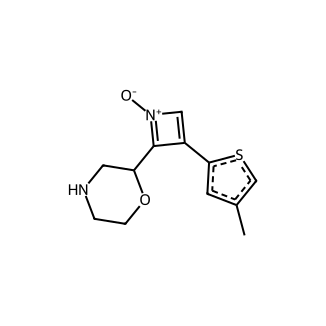 Cc1csc(C2=C[N+]([O-])=C2C2CNCCO2)c1